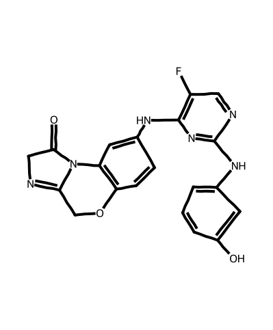 O=C1CN=C2COc3ccc(Nc4nc(Nc5cccc(O)c5)ncc4F)cc3N12